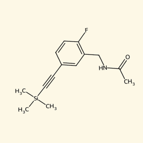 CC(=O)NCc1cc(C#C[Si](C)(C)C)ccc1F